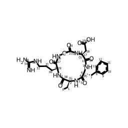 CC[C@@H]1NC(=O)[C@@H](Cc2ccccc2)NC(=O)[C@H](CC(=O)O)NC(=O)CNC(=O)[C@H](CCCNC(=N)N)NC1=O